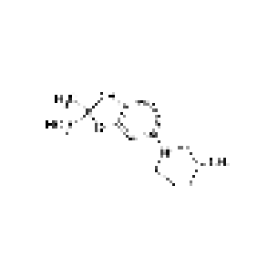 CC1CCCN(c2cccc(OC(C)(C)C(=O)O)c2)C1